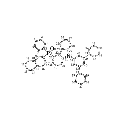 O=P1(c2ccccc2)c2cc3ccccc3cc2-c2ccc3c(c21)c1ccccc1n3-c1cc(-c2ccccc2)cc(-c2ccccc2)c1